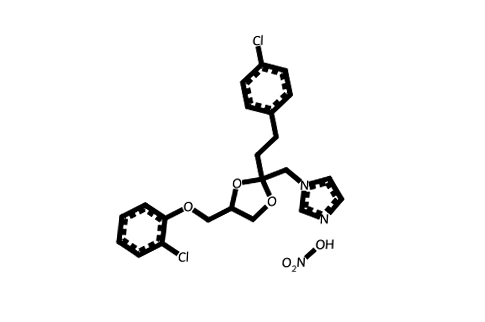 Clc1ccc(CCC2(Cn3ccnc3)OCC(COc3ccccc3Cl)O2)cc1.O=[N+]([O-])O